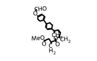 C=C(/C=C\C(=C)C1=CC=C(C2=CC=C(OC=O)CC2)CC1)OC(=O)C(=C)CC(=O)OC